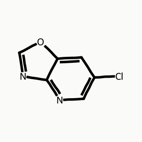 Clc1cnc2ncoc2c1